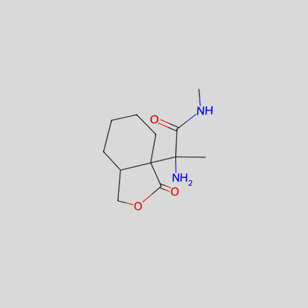 CNC(=O)C(C)(N)C12CCCCC1COC2=O